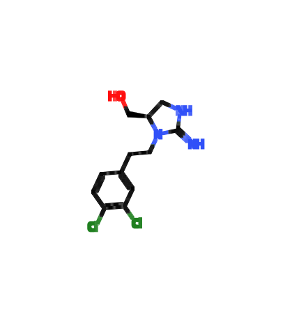 N=C1NC[C@H](CO)N1CCc1ccc(Cl)c(Cl)c1